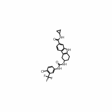 O=C(Nc1ccc(Cl)c(C(F)(F)F)c1)NC1CCc2[nH]c3cc(C(=O)NC4CC4)ccc3c2C1